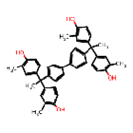 Cc1cc(C(C)(c2ccc(-c3ccc(C(C)(c4ccc(O)c(C)c4)c4ccc(O)c(C)c4)cc3)cc2)c2ccc(O)c(C)c2)ccc1O